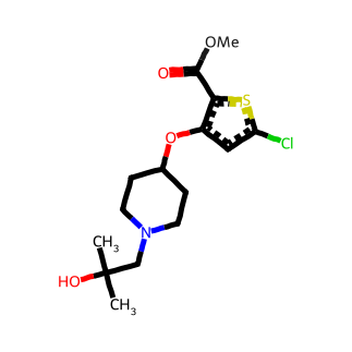 COC(=O)c1sc(Cl)cc1OC1CCN(CC(C)(C)O)CC1